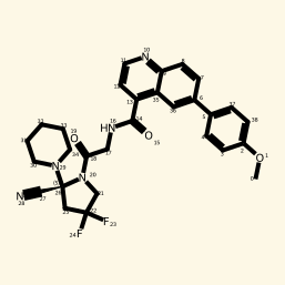 COc1ccc(-c2ccc3nccc(C(=O)NCC(=O)N4CC(F)(F)C[C@]4(C#N)N4CCCCC4)c3c2)cc1